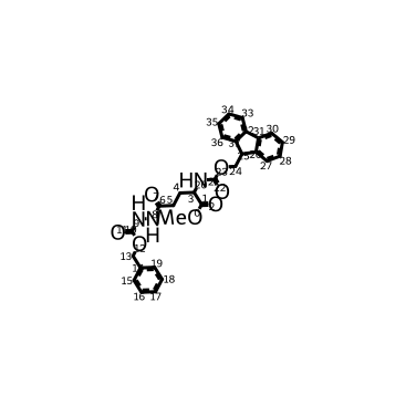 COC(=O)C(CCC(=O)NNC(=O)OCc1ccccc1)NC(=O)OCC1c2ccccc2-c2ccccc21